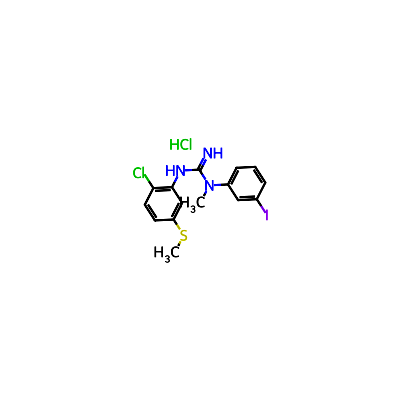 CSc1ccc(Cl)c(NC(=N)N(C)c2cccc(I)c2)c1.Cl